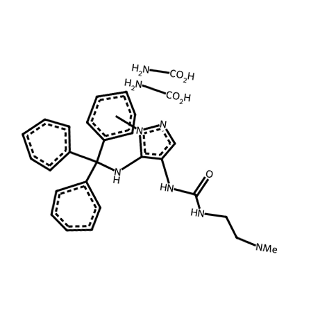 CNCCNC(=O)Nc1cnn(C)c1NC(c1ccccc1)(c1ccccc1)c1ccccc1.NC(=O)O.NC(=O)O